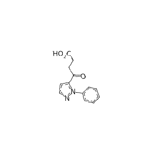 O=C(O)CCC(=O)c1ccnn1-c1ccccc1